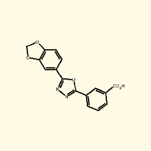 O=C(O)c1cccc(-c2nnc(-c3ccc4c(c3)OCO4)o2)c1